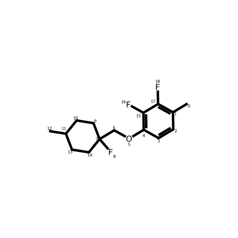 Cc1ccc(OCC2(F)CCC(C)CC2)c(F)c1F